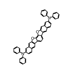 c1ccc(N(c2ccccc2)c2ccc3cc4c(cc3c2)oc2c4ccc3c4cc5ccc(N(c6ccccc6)c6ccccc6)cc5cc4oc32)cc1